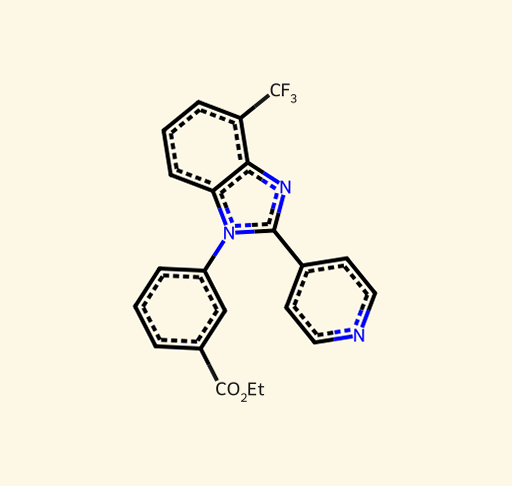 CCOC(=O)c1cccc(-n2c(-c3ccncc3)nc3c(C(F)(F)F)cccc32)c1